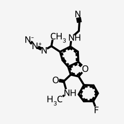 CNC(=O)c1c(-c2ccc(F)cc2)oc2cc(NCC#N)c(C(C)N=[N+]=[N-])cc12